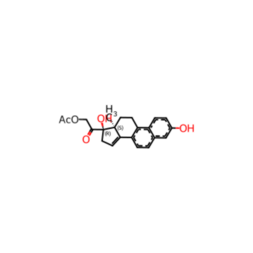 CC(=O)OCC(=O)[C@@]1(O)CC=C2c3ccc4cc(O)ccc4c3CC[C@@]21C